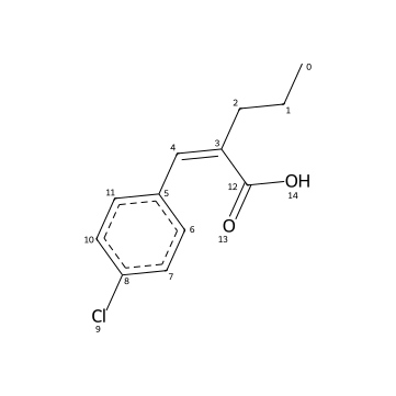 CCCC(=Cc1ccc(Cl)cc1)C(=O)O